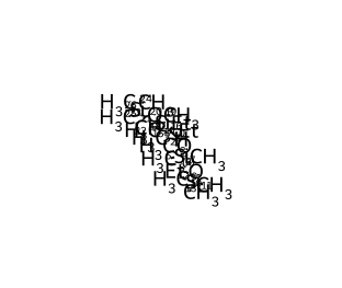 CCC(C)(O[SiH](C)[C@](C)(CC)O[Si](C)(C)C)C(C)(CC)[Si](C)(C)OC(C)[Si](C)(C)C